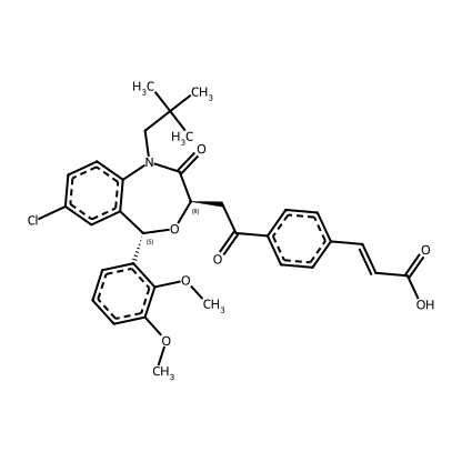 COc1cccc([C@H]2O[C@H](CC(=O)c3ccc(C=CC(=O)O)cc3)C(=O)N(CC(C)(C)C)c3ccc(Cl)cc32)c1OC